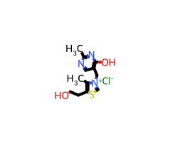 Cc1ncc(C[n+]2csc(CCO)c2C)c(O)n1.[Cl-]